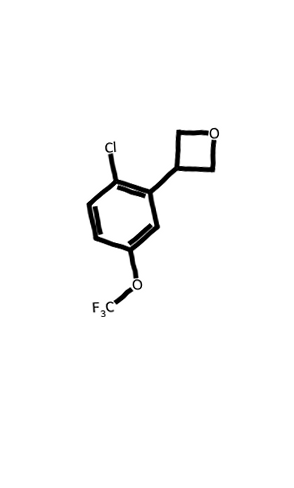 FC(F)(F)Oc1ccc(Cl)c(C2COC2)c1